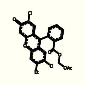 CCc1cc2oc3cc(=O)c(Cl)cc-3c(-c3ccccc3C(=O)OCOC(C)=O)c2cc1Cl